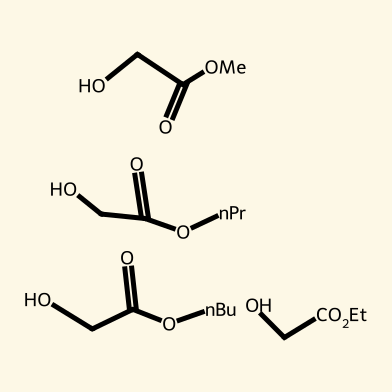 CCCCOC(=O)CO.CCCOC(=O)CO.CCOC(=O)CO.COC(=O)CO